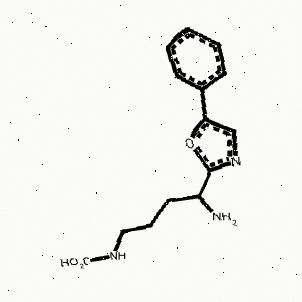 NC(CCCNC(=O)O)c1ncc(-c2ccccc2)o1